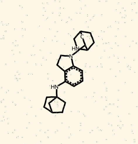 c1cc(NC23CCC(CC2)C3)c2c(c1)N(C1CC3CCC1NC3)CC2